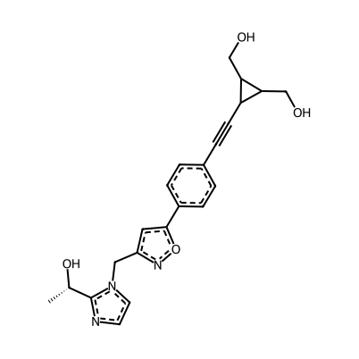 C[C@H](O)c1nccn1Cc1cc(-c2ccc(C#CC3C(CO)C3CO)cc2)on1